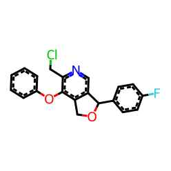 Fc1ccc(C2OCc3c2cnc(CCl)c3Oc2ccccc2)cc1